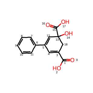 O=C(O)C1=CC(c2ccccc2)=CC(O)(C(=O)O)C1